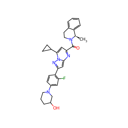 C[C@@H]1c2ccccc2CCN1C(=O)c1cc(C2CC2)n2nc(-c3ccc(N4CCCC(O)C4)cc3F)cc2n1